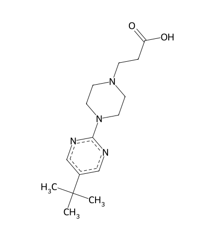 CC(C)(C)c1cnc(N2CCN(CCC(=O)O)CC2)nc1